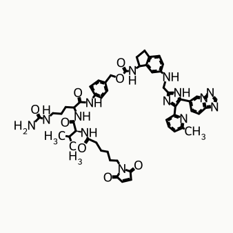 Cc1cccc(-c2nc(CNc3ccc4c(c3)C(NC(=O)OCc3ccc(NC(=O)C(CCCNC(N)=O)NC(=O)[C@@H](NC(=O)CCCCCN5C(=O)C=CC5=O)C(C)C)cc3)CC4)[nH]c2-c2ccc3ncnn3c2)n1